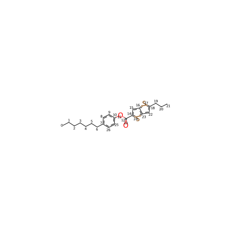 CCCCCCCc1ccc(OC(=O)c2cc3sc(CCC)cc3s2)cc1